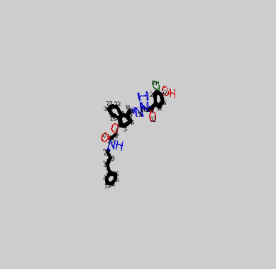 O=C(COc1ccc(/C=N/NC(=O)c2ccc(O)c(Cl)c2)c2ccccc12)NCCCc1ccccc1